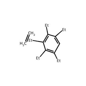 C=C.CCc1cc(CC)c(CC)c(CC)c1CC